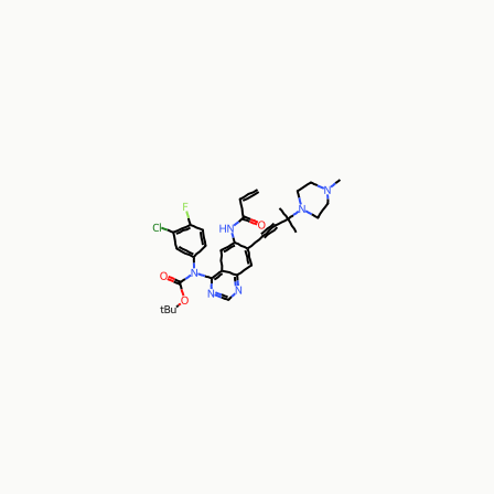 C=CC(=O)Nc1cc2c(N(C(=O)OC(C)(C)C)c3ccc(F)c(Cl)c3)ncnc2cc1C#CC(C)(C)N1CCN(C)CC1